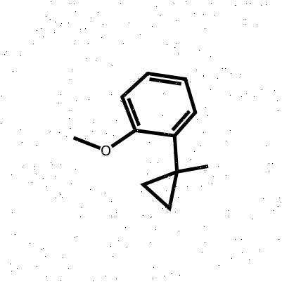 COc1ccccc1C1(C)CC1